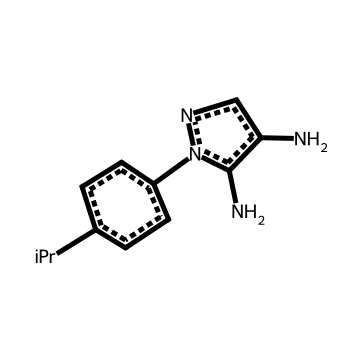 CC(C)c1ccc(-n2ncc(N)c2N)cc1